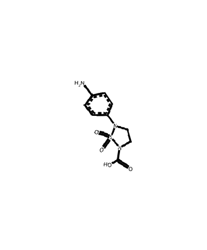 Nc1ccc(N2CCN(C(=O)O)S2(=O)=O)cc1